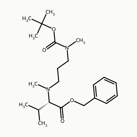 CC(C)[C@@H](C(=O)OCc1ccccc1)N(C)CCCN(C)C(=O)OC(C)(C)C